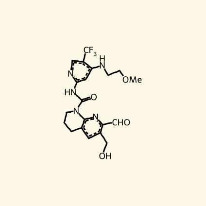 COCCNc1cc(NC(=O)N2CCCc3cc(CO)c(C=O)nc32)ncc1C(F)(F)F